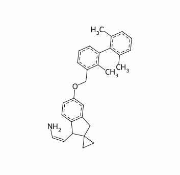 Cc1cccc(C)c1-c1cccc(COc2ccc3c(c2)CC2(CC2)C3/C=C\N)c1C